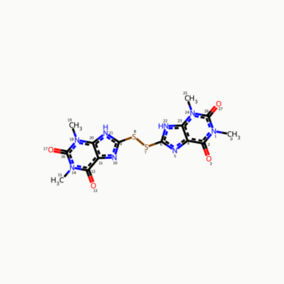 Cn1c(=O)c2nc(SSc3nc4c(=O)n(C)c(=O)n(C)c4[nH]3)[nH]c2n(C)c1=O